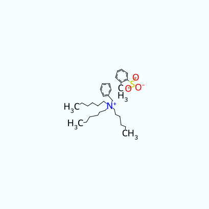 CCCCCC[N+](CCCCCC)(CCCCCC)Cc1ccccc1.Cc1ccccc1S(=O)(=O)[O-]